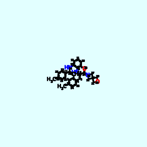 Cc1ccc(C[C@H](Nc2ccccc2NC(C)c2ccc(C)cc2)C(=O)N2CC3(COC3)C2)cc1